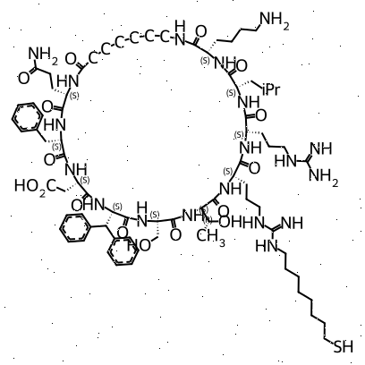 CC(C)C[C@@H]1NC(=O)[C@H](CCCNC(=N)N)NC(=O)[C@H](CCCNC(=N)NCCCCCCCCS)NC(=O)[C@H]([C@@H](C)O)NC(=O)[C@H](CO)NC(=O)[C@H](C(c2ccccc2)c2ccccc2)NC(=O)[C@H](CC(=O)O)NC(=O)[C@H](Cc2ccccc2)NC(=O)[C@H](CCC(N)=O)NC(=O)CCCCCCNC(=O)[C@H](CCCCN)NC1=O